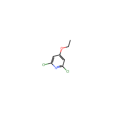 CCOc1cc(Cl)nc(Cl)c1